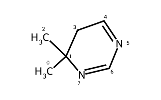 CC1(C)CC=NC=N1